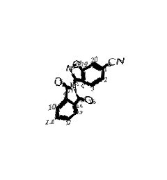 N#Cc1ccc2c(N3C(=O)c4ccccc4C3=O)noc2c1